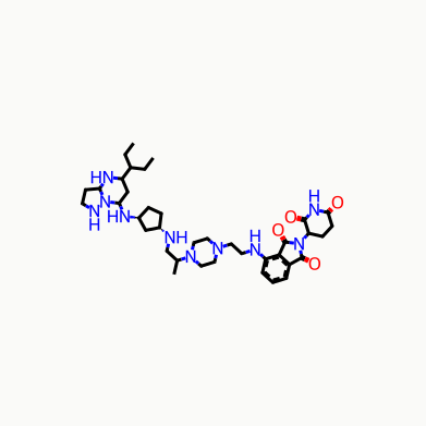 CCC(CC)C1CC(N[C@H]2CC[C@H](NCC(C)N3CCN(CCNc4cccc5c4C(=O)N(C4CCC(=O)NC4=O)C5=O)CC3)C2)N2NCCC2N1